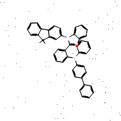 CC1(C)c2ccccc2-c2ccc(-n3c(-c4ccccc4N(c4ccccc4)c4ccc(-c5ccccc5)cc4)nc4ccccc43)cc21